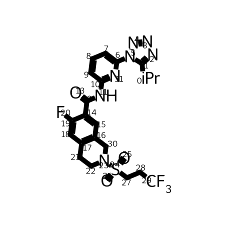 CC(C)c1nnnn1-c1cccc(NC(=O)c2cc3c(cc2F)CCN(S(=O)(=O)CCC(F)(F)F)C3)n1